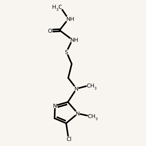 CNC(=O)NSCCN(C)c1ncc(Cl)n1C